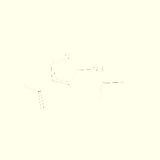 C=C(C)c1cc(NC(=O)CC)no1